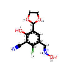 N#Cc1c(O)c(C2OCCO2)cc(/C=N/O)c1F